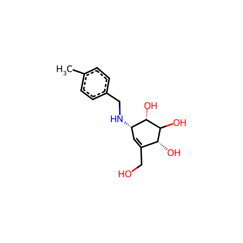 Cc1ccc(CN[C@H]2C=C(CO)[C@@H](O)C(O)[C@H]2O)cc1